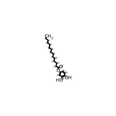 CCCCCCCCCCCCCCC(=O)Oc1ccc(O)c(O)c1